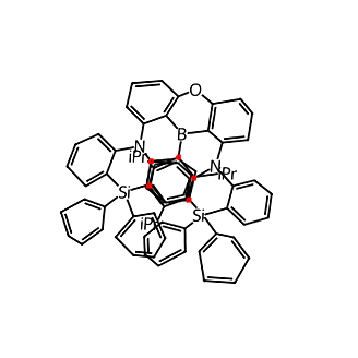 CC(C)c1cc(C(C)C)c(B2c3c(cccc3N3c4ccccc4[Si](c4ccccc4)(c4ccccc4)c4ccccc43)Oc3cccc(N4c5ccccc5[Si](c5ccccc5)(c5ccccc5)c5ccccc54)c32)c(C(C)C)c1